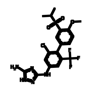 COc1ccc(-c2c(Cl)cc(Nc3n[nH]c(N)n3)cc2C(F)(F)F)cc1S(=O)(=O)C(C)C